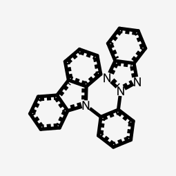 c1ccc(-n2c3ccccc3c3ccccc32)c(-n2nc3ccccc3n2)c1